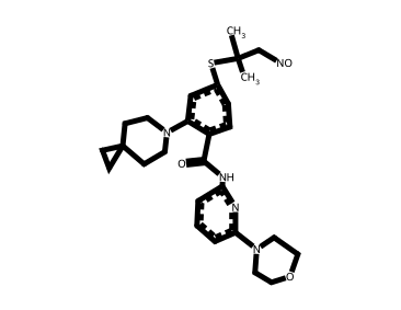 CC(C)(CN=O)Sc1ccc(C(=O)Nc2cccc(N3CCOCC3)n2)c(N2CCC3(CC2)CC3)c1